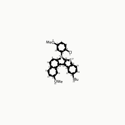 COc1ccc(Cl)c(-n2c3ccc4ccc(OC)cc4c3c3c4cc(C(C)(C)C)ccc4sc32)c1